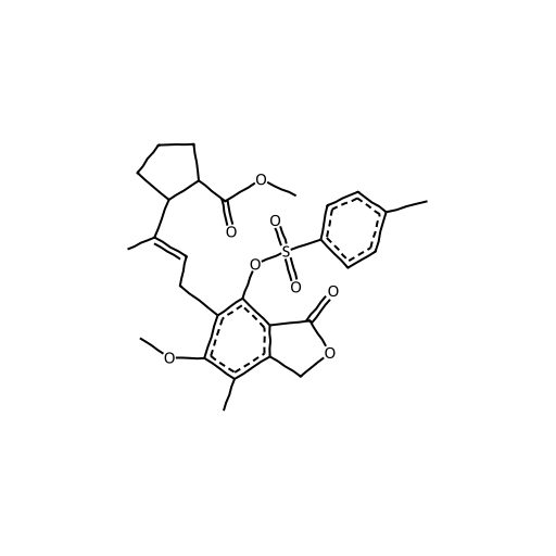 COC(=O)C1CCCC1/C(C)=C/Cc1c(OC)c(C)c2c(c1OS(=O)(=O)c1ccc(C)cc1)C(=O)OC2